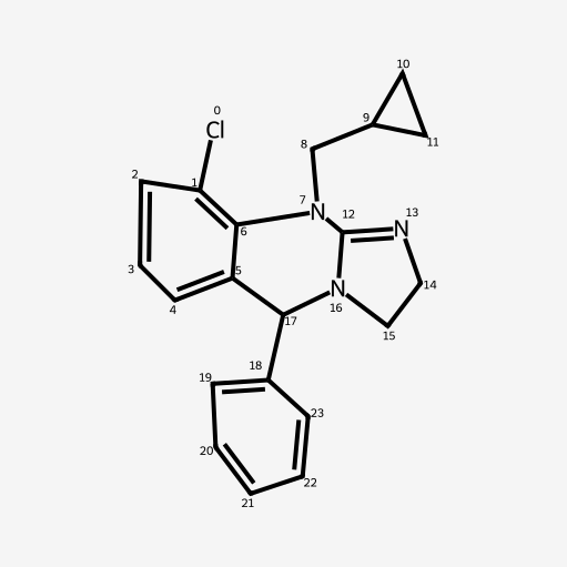 Clc1cccc2c1N(CC1CC1)C1=NCCN1C2c1ccccc1